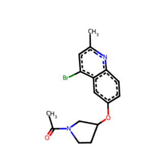 CC(=O)N1CCC(Oc2ccc3nc(C)cc(Br)c3c2)C1